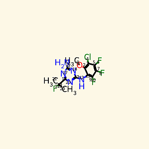 COc1c(Cl)c(F)c(F)c(F)c1Nc1nc(N)nc(C(C)(C)F)n1